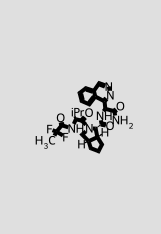 CC(C)[C@H](NC(=O)C(C)(F)F)C(=O)N1C[C@@H]2CCC[C@@H]2[C@H]1C(=O)NC(C(N)=O)c1nncc2ccccc12